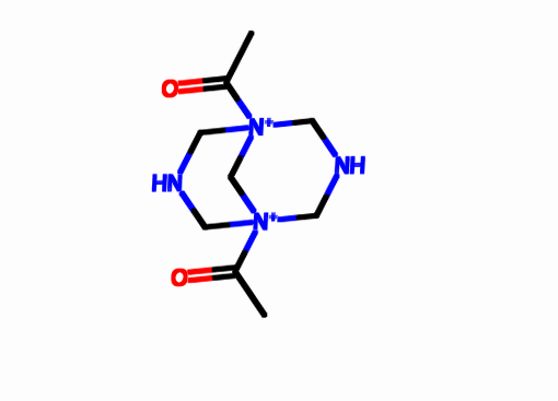 CC(=O)[N+]12CNC[N+](C(C)=O)(CNC1)C2